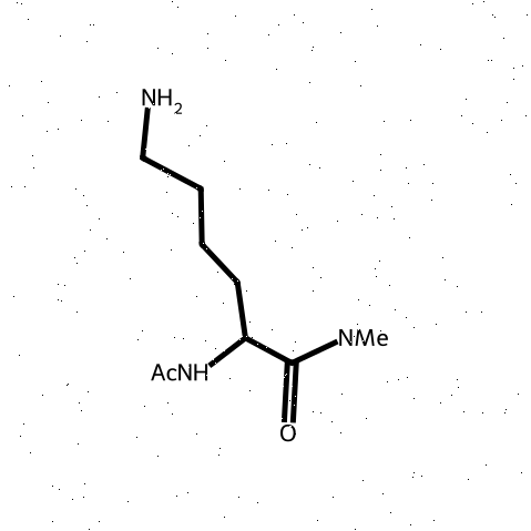 CNC(=O)C(CCCCN)NC(C)=O